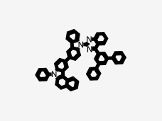 C1=CC(c2cc(-c3ccccc3)cc(-c3nc(N4c5ccccc5C5C=C(C6=CC7C8=C(CCc9ccccc98)N(c8ccccc8)C7C=C6)C=CC54)nc4c3=CCCC=4)c2)=CCC1